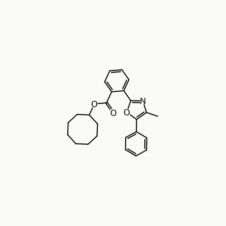 Cc1nc(-c2ccccc2C(=O)OC2CCCCCCC2)oc1-c1ccccc1